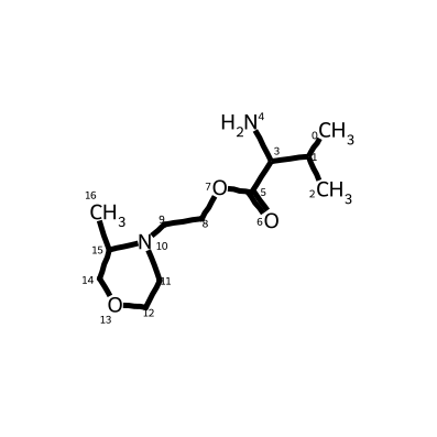 CC(C)C(N)C(=O)OCCN1CCOCC1C